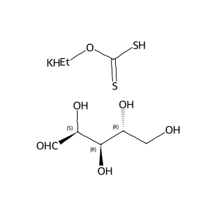 CCOC(=S)S.O=C[C@@H](O)[C@H](O)[C@H](O)CO.[KH]